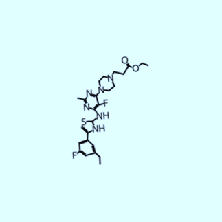 CCOC(=O)CCN1CCN(c2nc(C)nc(NC3NC(c4cc(F)cc(CC)c4)=CS3)c2F)CC1